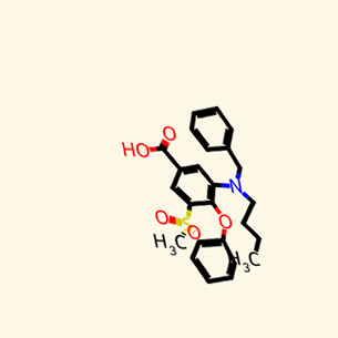 CCCCN(Cc1ccccc1)c1cc(C(=O)O)cc(S(C)(=O)=O)c1Oc1ccccc1